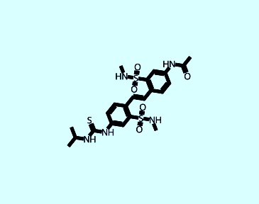 CNS(=O)(=O)c1cc(NC(C)=O)ccc1C=Cc1ccc(NC(=S)NC(C)C)cc1S(=O)(=O)NC